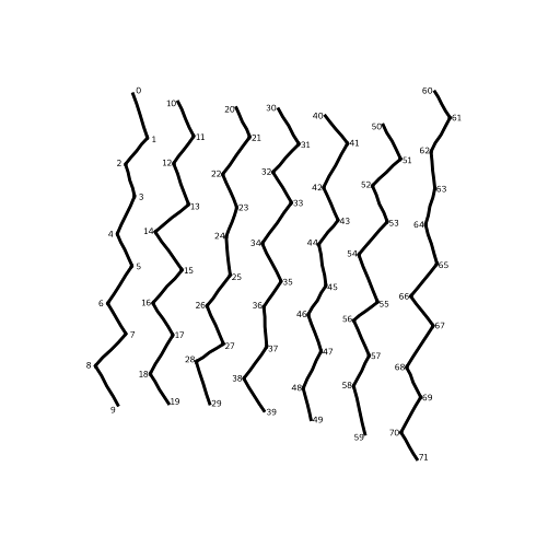 CCCCCCCCCC.CCCCCCCCCC.CCCCCCCCCC.CCCCCCCCCC.CCCCCCCCCC.CCCCCCCCCC.CCCCCCCCCCCC